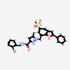 CCc1ccccc1CNC(=O)c1cc(C)n(Cc2cc(S(C)(=O)=O)cc3cc(-c4ccccc4)oc23)n1